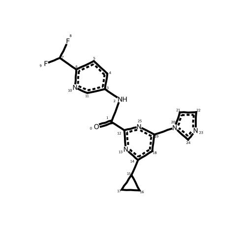 O=C(Nc1ccc(C(F)F)nc1)c1nc(C2CC2)cc(-n2ccnc2)n1